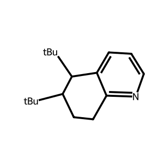 CC(C)(C)C1CCc2ncccc2C1C(C)(C)C